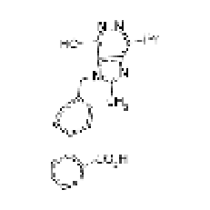 Cc1nc2c(C(C)C)nnc(O)c2n1Cc1ccc(-c2ccccc2C(=O)O)cc1